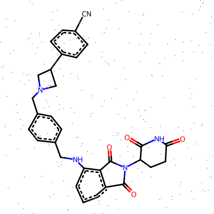 N#Cc1ccc(C2CN(Cc3ccc(CNc4cccc5c4C(=O)N(C4CCC(=O)NC4=O)C5=O)cc3)C2)cc1